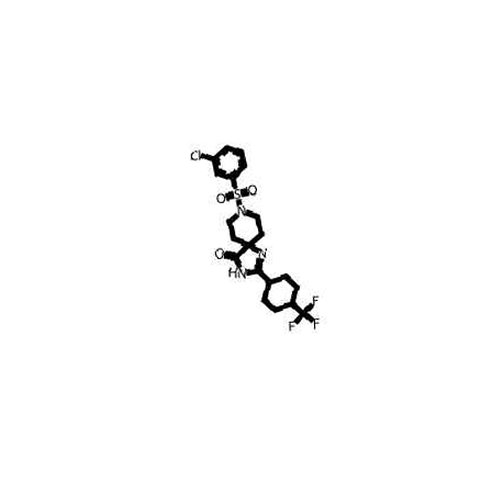 O=C1NC(C2CCC(C(F)(F)F)CC2)=NC12CCN(S(=O)(=O)c1cccc(Cl)c1)CC2